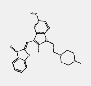 COc1ccc2c(c1)c(/C=C1\Oc3c[c]ccc3C1=O)c(C)n2CCN1CCN(C)CC1